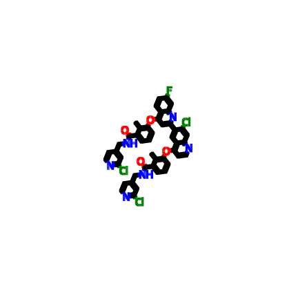 Cc1c(Oc2ccnc3cc(Cl)c(-c4cc(Oc5cccc(C(=O)NCc6ccnc(Cl)c6)c5C)c5ccc(F)cc5n4)cc23)cccc1C(=O)NCc1ccnc(Cl)c1